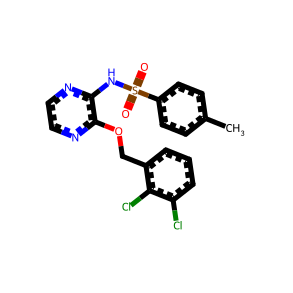 Cc1ccc(S(=O)(=O)Nc2nccnc2OCc2cccc(Cl)c2Cl)cc1